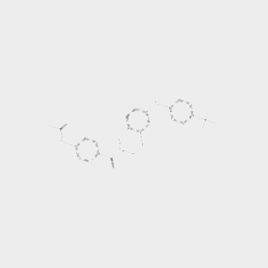 CC(=O)Nc1ccc(C(=O)N2CCc3cc(Nc4ccc(C(F)(F)F)cc4)ccc3C2)nc1